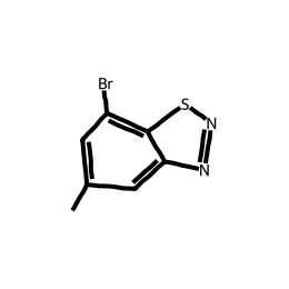 Cc1cc(Br)c2snnc2c1